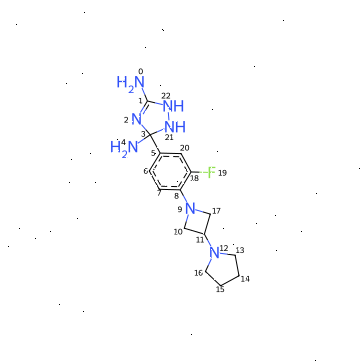 NC1=NC(N)(c2ccc(N3CC(N4CCCC4)C3)c(F)c2)NN1